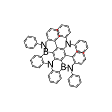 c1ccc(N2B3c4ccccc4N4c5ccccc5B5c6c(c(N(c7ccccc7)c7ccccc7)c(c3c64)-c3ccccc32)-c2ccccc2N5c2ccccc2)cc1